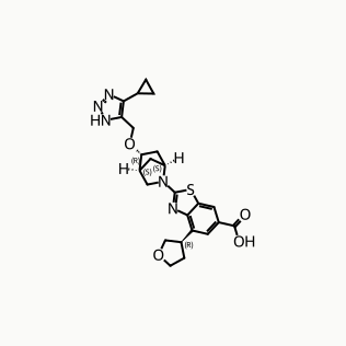 O=C(O)c1cc([C@H]2CCOC2)c2nc(N3C[C@@H]4C[C@H]3C[C@H]4OCc3[nH]nnc3C3CC3)sc2c1